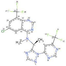 C[C@@H](c1ncnn1-c1cc(C(F)(F)F)ncn1)N(C)c1ncnc2c(C(F)(F)F)cc(Cl)cc12